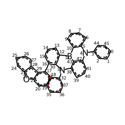 c1ccc(N2c3ccccc3B3c4cccc(-c5cccc6oc7ccccc7c56)c4N(c4ccccc4)c4cccc2c43)cc1